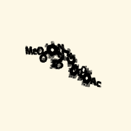 COC(=O)c1ccc2nc(CN3CC=C(c4cccc(OCc5ccc(C(C)=O)cc5Cl)n4)CC3)n(CC3CCO3)c2c1